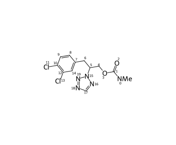 CNC(=O)OCC(Cc1ccc(Cl)c(Cl)c1)n1ncnn1